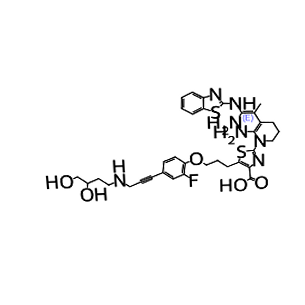 C/C(C1=C(N)N(c2nc(C(=O)O)c(CCCOc3ccc(C#CCNCCC(O)CO)cc3F)s2)CCC1)=C(/N)Nc1nc2ccccc2s1